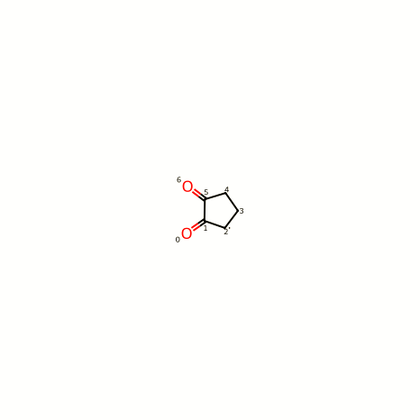 O=C1[CH]CCC1=O